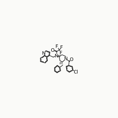 O=C(c1cccc(Cl)c1)N1CC[C@H](N(Cc2ccnc3ccccc23)C(=O)C(F)(F)F)C[C@H]1Cc1ccccc1